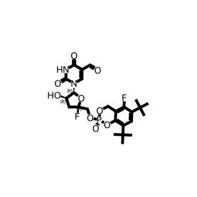 CC(C)(C)c1cc(C(C)(C)C)c2c(c1F)COP(=O)(OC[C@]1(F)C[C@@H](O)[C@H](n3cc(C=O)c(=O)[nH]c3=O)O1)O2